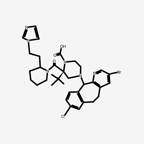 CC(C)(C)[C@]1(C(=O)N2CCCCC2CCn2ccnc2)CN(C2c3ccc(Cl)cc3CCc3cc(Br)cnc32)CCN1C(=O)O